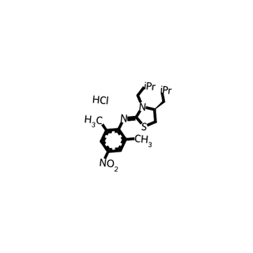 Cc1cc([N+](=O)[O-])cc(C)c1N=C1SC[C@H](CC(C)C)N1CC(C)C.Cl